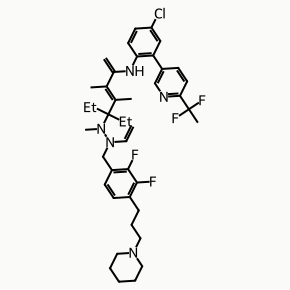 C=CN(Cc1ccc(CCCN2CCCCC2)c(F)c1F)N(C)C(CC)(CC)/C(C)=C(\C)C(=C)Nc1ccc(Cl)cc1-c1ccc(C(C)(F)F)nc1